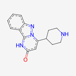 O=c1cc(C2CCNCC2)n2nc3ccccc3c2[nH]1